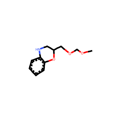 COCOCC1CNc2ccccc2O1